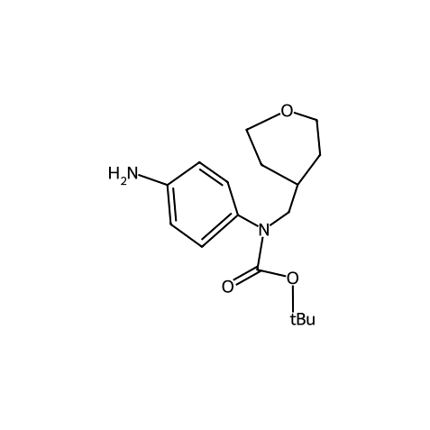 CC(C)(C)OC(=O)N(CC1CCOCC1)c1ccc(N)cc1